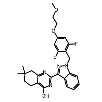 COCCOc1cc(F)c(Cn2nc(-c3nc(O)c4c(n3)CC(C)(C)CC4)c3ccccc32)c(F)c1